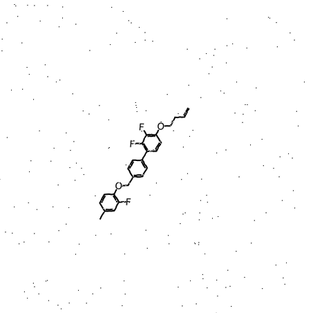 C=CCCOc1ccc(-c2ccc(COc3ccc(C)cc3F)cc2)c(F)c1F